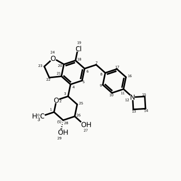 CC1OC(c2cc(Cc3ccc(N4CCC4)cc3)c(Cl)c3c2CCO3)CC(O)[C@@H]1O